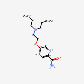 COCCN(CCOC)CCOc1cnc(C(N)=O)cn1